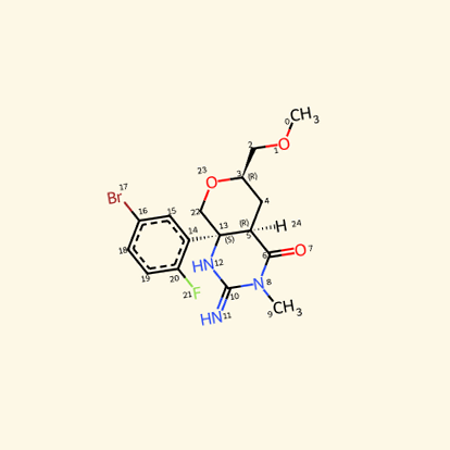 COC[C@H]1C[C@H]2C(=O)N(C)C(=N)N[C@@]2(c2cc(Br)ccc2F)CO1